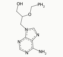 Nc1ncnc2c1ncn2CC(CO)OCP